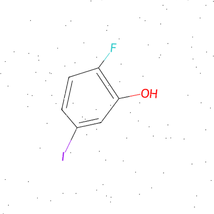 Oc1cc(I)ccc1F